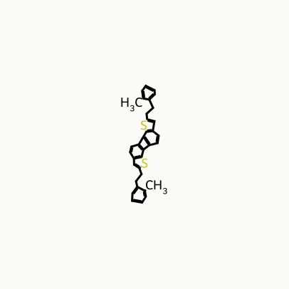 Cc1ccccc1CCc1cc2ccc3c(c2s1)-c1ccc2cc(CCc4ccccc4C)sc2c1-3